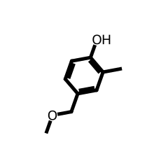 COCc1ccc(O)c(C)c1